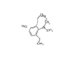 CCc1cccc(CC)c1N(C)C.Cl